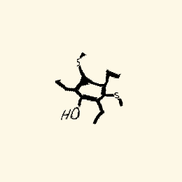 CCc1c(O)c(CC)c(SC)c(CC)c1SC